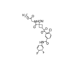 COC(=O)CNC(=O)C1(O)CC(S(=O)(=O)c2cc(C(=O)Nc3ccc(F)c(F)c3)ccc2Cl)C1